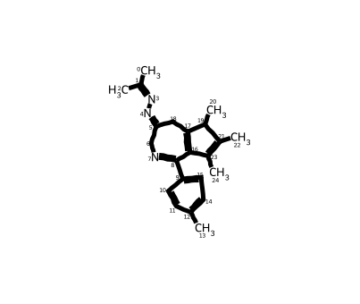 CC(C)=N/N=C1/CN=C(c2ccc(C)cc2)C2=C(C1)C(C)C(C)=C2C